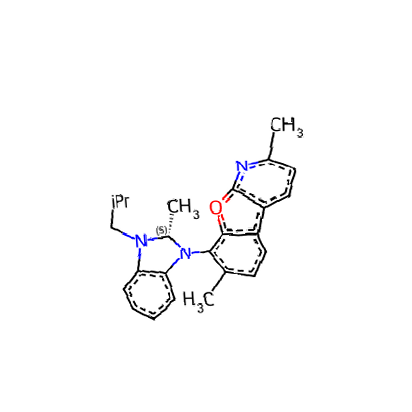 Cc1ccc2c(n1)oc1c(N3c4ccccc4N(CC(C)C)[C@@H]3C)c(C)ccc12